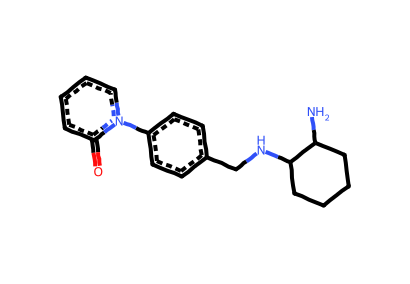 NC1CCCCC1NCc1ccc(-n2ccccc2=O)cc1